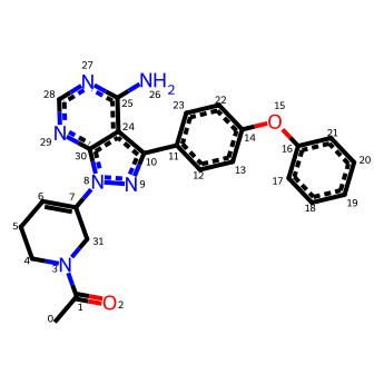 CC(=O)N1CCC=C(n2nc(-c3ccc(Oc4ccccc4)cc3)c3c(N)ncnc32)C1